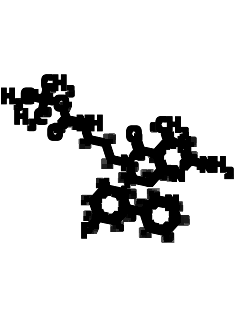 Cc1nc(N)nc2c1C(=O)N(CCCNC(=O)OC(C)(C)C)[C@@H](c1ccc(F)cc1-c1cccnc1)C2